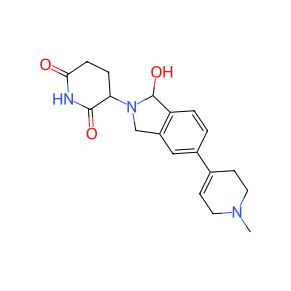 CN1CC=C(c2ccc3c(c2)CN(C2CCC(=O)NC2=O)C3O)CC1